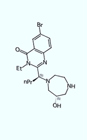 CCC[C@@H](c1nc2ccc(Br)cc2c(=O)n1CC)N1CCNC[C@H](O)C1